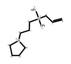 C=CC[Si](CCC)(CCC)CCCN1CCCC1